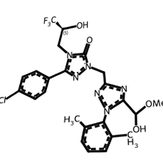 COC(O)c1nc(Cn2nc(-c3ccc(Cl)cc3)n(C[C@H](O)C(F)(F)F)c2=O)nn1-c1c(C)cccc1C